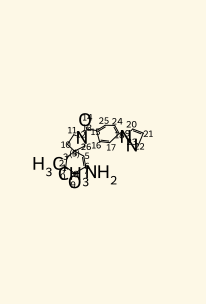 CC1(C)C[C@@]2(C=C(N)C1=O)CCN(C(=O)c1ccc(-n3cccn3)cc1)C2